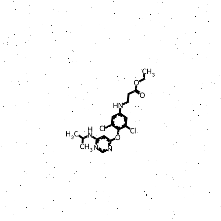 CCOC(=O)CCNc1cc(Cl)c(Oc2cc(NC(C)C)ncn2)c(Cl)c1